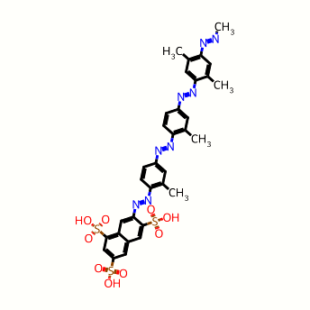 CN=Nc1cc(C)c(N=Nc2ccc(N=Nc3ccc(N=Nc4cc5c(S(=O)(=O)O)cc(S(=O)(=O)O)cc5cc4S(=O)(=O)O)c(C)c3)c(C)c2)cc1C